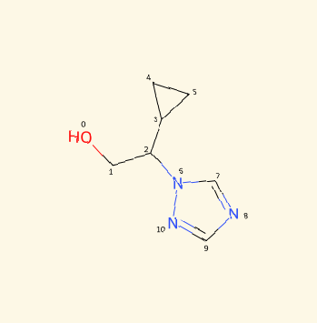 OCC(C1CC1)n1cncn1